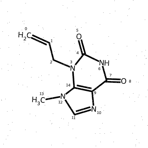 C=CCn1c(=O)[nH]c(=O)c2ncn(C)c21